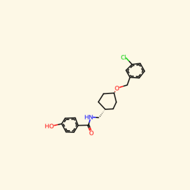 O=C(NC[C@H]1CC[C@@H](OCc2cccc(Cl)c2)CC1)c1ccc(O)cc1